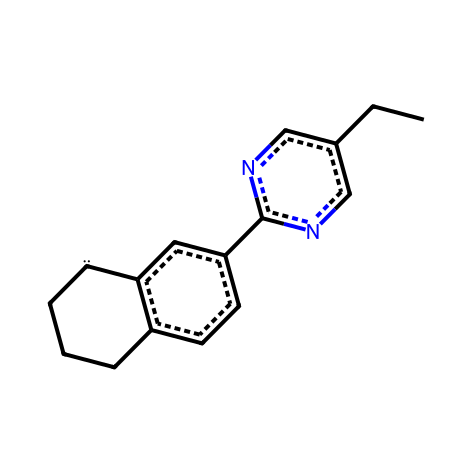 CCc1cnc(-c2ccc3c(c2)[C]CCC3)nc1